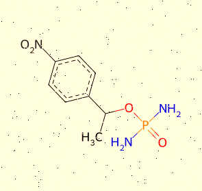 CC(OP(N)(N)=O)c1ccc([N+](=O)[O-])cc1